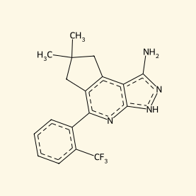 CC1(C)Cc2c(-c3ccccc3C(F)(F)F)nc3[nH]nc(N)c3c2C1